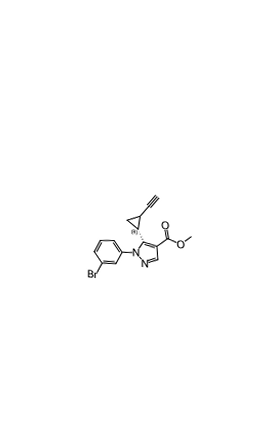 C#CC1C[C@H]1c1c(C(=O)OC)cnn1-c1cccc(Br)c1